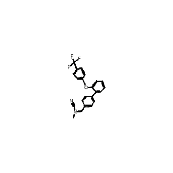 CN(C#N)Cc1ccc(-c2ccccc2Oc2ccc(C(F)(F)F)cc2)cc1